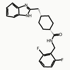 O=C(NCc1c(F)cccc1F)[C@H]1CC[C@@H](Cc2nc3ccccc3[nH]2)CC1